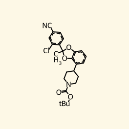 CC(C)(C)OC(=O)N1CCC(c2cccc3c2OC(C)(c2ccc(C#N)cc2Cl)O3)CC1